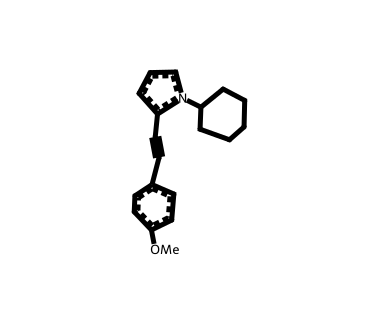 COc1ccc(C#Cc2cccn2C2CCCCC2)cc1